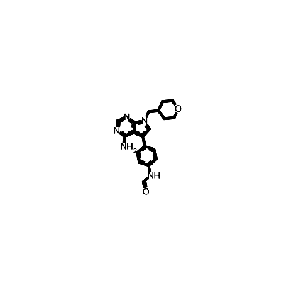 Nc1ncnc2c1c(-c1ccc(NC=O)cc1)cn2CC1CCOCC1